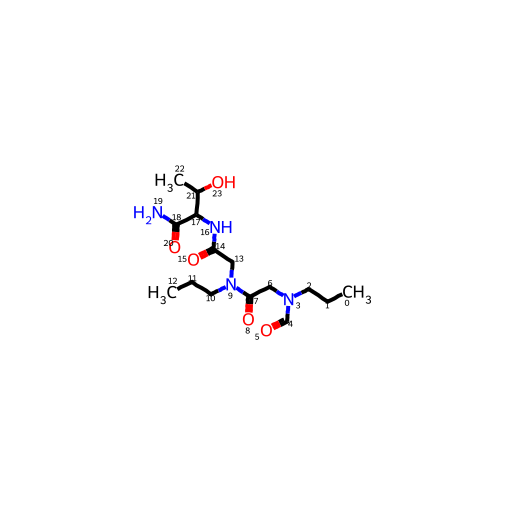 CCCN(C=O)CC(=O)N(CCC)CC(=O)NC(C(N)=O)C(C)O